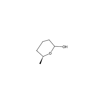 C[C@H]1CCCC(O)O1